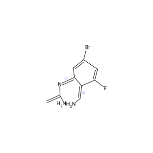 C=C(N)/N=C1/C=C(Br)C=C(F)/C1=C/N